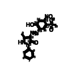 Cc1[nH]n(-c2ccccc2)c(=O)c1N=Nc1cc(S(C)(=O)=O)c([N+](=O)[O-])cc1O